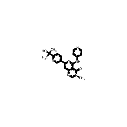 Cn1cnc2cc(-c3ccc(C(C)(C)O)nc3)nc(Nc3ccncc3)c2c1=O